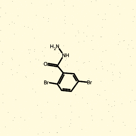 NNC(=O)c1cc(Br)ccc1Br